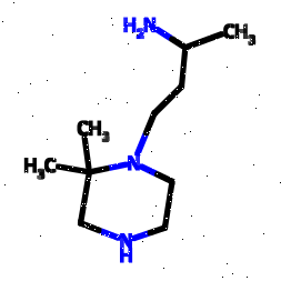 CC(N)CCN1CCNCC1(C)C